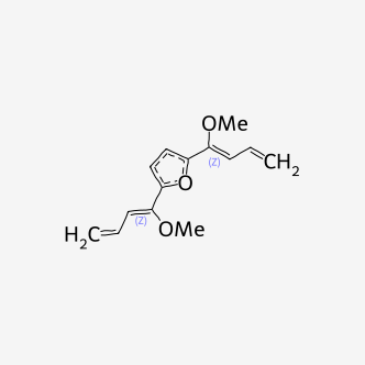 C=C/C=C(\OC)c1ccc(/C(=C/C=C)OC)o1